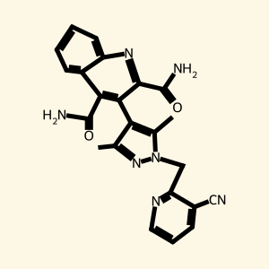 Cc1nn(Cc2ncccc2C#N)c(C)c1-c1c(C(N)=O)nc2ccccc2c1C(N)=O